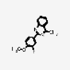 COc1ccc(-c2nc(C)c3ccccc3n2)cc1F